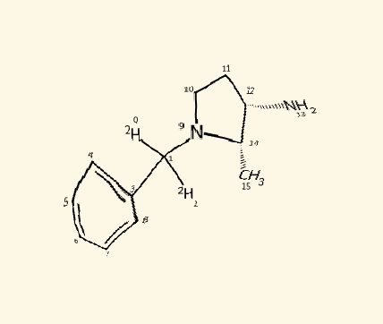 [2H]C([2H])(c1ccccc1)N1CC[C@H](N)[C@@H]1C